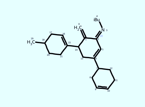 C=C1/C(=N\C(C)CC)C=C(C2CC=CCC2)CC1C1=CCC(C)CC1